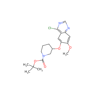 COc1cc2ncnc(Cl)c2cc1OC1CCCN(C(=O)OC(C)(C)C)C1